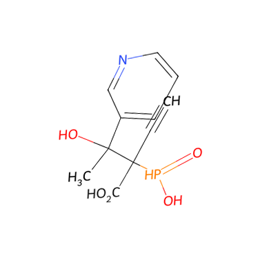 C#CC(C(=O)O)([PH](=O)O)C(C)(O)c1cccnc1